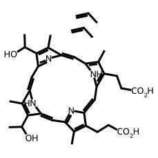 C=CC.C=CC.CC1=C(CCC(=O)O)c2cc3[nH]c(cc4nc(cc5[nH]c(cc1n2)c(C(C)O)c5C)C(C(C)O)=C4C)c(C)c3CCC(=O)O